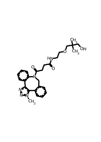 Cn1nnc2c1-c1ccccc1CN(C(=O)CCC(=O)NCCOCC(C)(C)CO)c1ccccc1-2